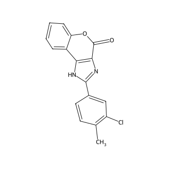 Cc1ccc(-c2nc3c(=O)oc4ccccc4c3[nH]2)cc1Cl